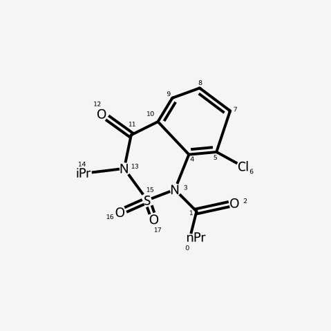 CCCC(=O)N1c2c(Cl)cccc2C(=O)N(C(C)C)S1(=O)=O